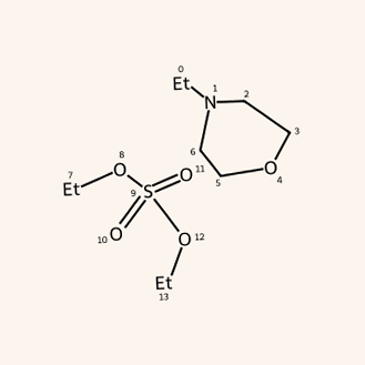 CCN1CCOCC1.CCOS(=O)(=O)OCC